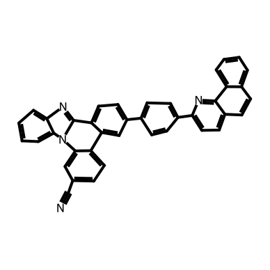 N#Cc1ccc2c3cc(-c4ccc(-c5ccc6ccc7ccccc7c6n5)cc4)ccc3c3nc4ccccc4n3c2c1